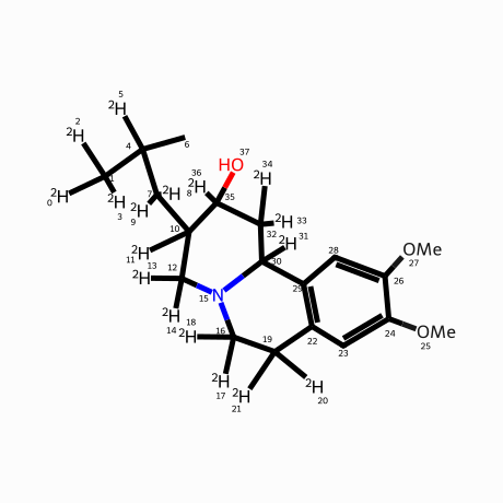 [2H]C([2H])([2H])C([2H])(C)C([2H])([2H])C1([2H])C([2H])([2H])N2C([2H])([2H])C([2H])([2H])c3cc(OC)c(OC)cc3C2([2H])C([2H])([2H])C1([2H])O